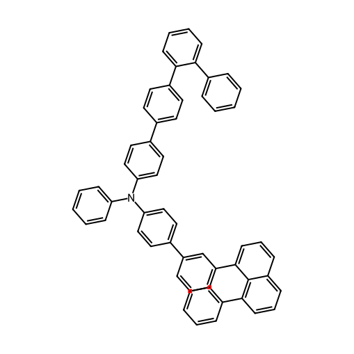 c1ccc(-c2ccccc2-c2ccc(-c3ccc(N(c4ccccc4)c4ccc(-c5cccc(-c6cccc7cccc(-c8ccccc8)c67)c5)cc4)cc3)cc2)cc1